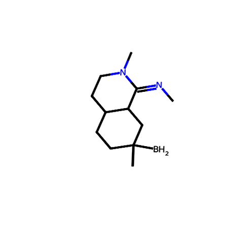 BC1(C)CCC2CCN(C)/C(=N/C)C2C1